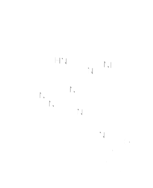 Cc1cc(Nc2nc(N3CCN(C(=O)C4(C)CC4)CC3)nn3cccc23)n[nH]1